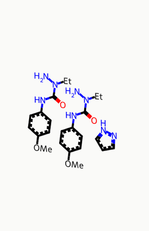 CCN(N)C(=O)Nc1ccc(OC)cc1.CCN(N)C(=O)Nc1ccc(OC)cc1.c1cn[nH]c1